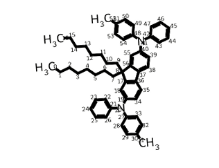 CCCCCCCCC1(CCCCCCCC)c2cc(N(c3ccccc3)c3ccc(C)cc3)ccc2-c2ccc(N(c3ccccc3)c3ccc(C)cc3)cc21